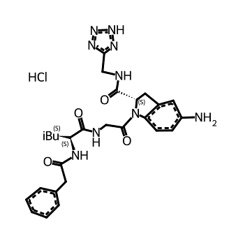 CC[C@H](C)[C@H](NC(=O)Cc1ccccc1)C(=O)NCC(=O)N1c2ccc(N)cc2C[C@H]1C(=O)NCc1nn[nH]n1.Cl